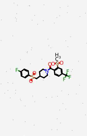 CS(=O)(=O)c1cc(C(F)(F)F)ccc1C(=O)N1CCC(CS(=O)(=O)c2ccc(F)cc2)CC1